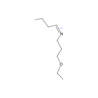 CCC/C=N\CCCOCC